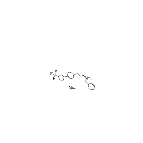 CC#N.CCN(CCCc1ccc(C2CCC(C(F)(F)F)C2)cc1)Cc1ccccc1